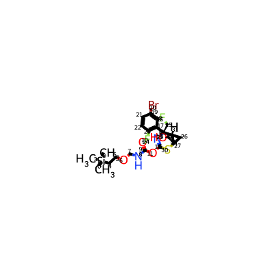 C[Si](C)(C)CCOCNC(=O)OC1=N[C@](CF)(c2cc(Br)ccc2F)[C@@H]2C[C@]2(CO)S1